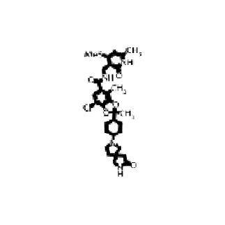 CSc1cc(C)[nH]c(=O)c1CNC(=O)c1cc(Cl)c2c(c1C)OC(C)(C1CCC(N3CCC4(CNC(=O)C4)C3)CC1)O2